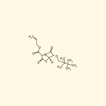 C=CCOC(=O)C1C(=S)S[C@H]2[C@@H](OC[Si](C)(C)C(C)(C)C)C(=O)N12